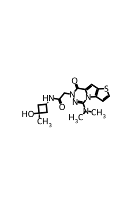 CN(C)c1nn(CC(=O)N[C@H]2C[C@@](C)(O)C2)c(=O)c2cc3sccc3n12